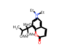 CCNCC.COC(C)C(OC)(OC)c1cccc2ccc(=O)oc12